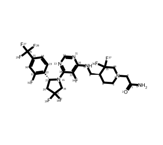 NC(=O)CN1CC[C@@H](CNc2ncnc(N3CC(F)(F)C[C@@H]3c3ccc(C(F)(F)F)cc3F)c2F)C(F)(F)C1